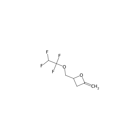 C=C1CC(COC(F)(F)C(F)F)O1